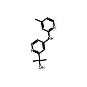 Cc1ccnc(Nc2ccnc(C(C)(C)O)c2)c1